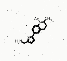 CC(=O)N1c2ccc(-c3ccc(CN)s3)cc2CCC1C